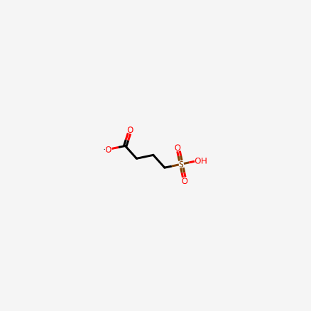 [O]C(=O)CCCS(=O)(=O)O